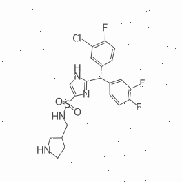 O=S(=O)(NCC1CCNC1)c1c[nH]c(C(c2ccc(F)c(F)c2)c2ccc(F)c(Cl)c2)n1